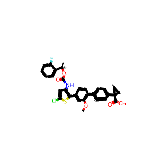 COc1cc(-c2sc(Cl)cc2NC(=O)O[C@H](C)c2ccccc2F)ccc1-c1ccc(C2(C(=O)O)CC2)cc1